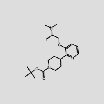 CN(C)[C@H](I)COc1cccnc1C1CCN(C(=O)OC(C)(C)C)CC1